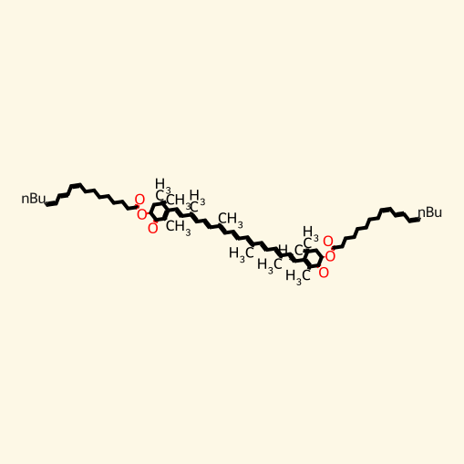 CCCC\C=C/C=C/C=C\CCCCCCCC(=O)O[C@H]1CC(C)(C)C(/C=C/C(C)=C/C=C/C(C)=C/C=C/C=C(C)/C=C/C=C(C)/C=C/C2=C(C)C(=O)[C@@H](OC(=O)CCCCCCC\C=C/C=C/C=C\CCCC)CC2(C)C)=C(C)C1=O